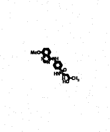 COc1cccc2c(Nc3ccc(S(=N)(=O)NC[C@@H](C)O)cc3)ncnc12